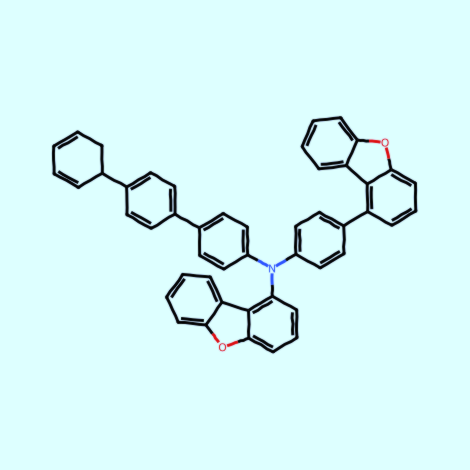 C1=CCC(c2ccc(-c3ccc(N(c4ccc(-c5cccc6oc7ccccc7c56)cc4)c4cccc5oc6ccccc6c45)cc3)cc2)C=C1